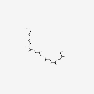 CNCCNCCNC(=O)OCC(O)COC(=O)CCC(=O)OCC(CO)OC(C)=O